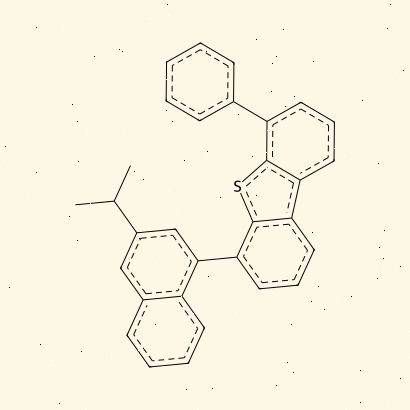 CC(C)c1cc(-c2cccc3c2sc2c(-c4ccccc4)cccc23)c2ccccc2c1